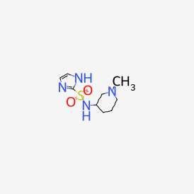 CN1CCCC(NS(=O)(=O)c2ncc[nH]2)C1